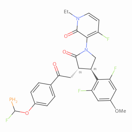 CCn1ccc(F)c(N2C[C@@H](c3c(F)cc(OC)cc3F)[C@H](CC(=O)c3ccc(OC(F)P)cc3)C2=O)c1=O